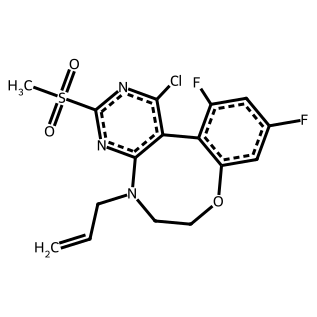 C=CCN1CCOc2cc(F)cc(F)c2-c2c(Cl)nc(S(C)(=O)=O)nc21